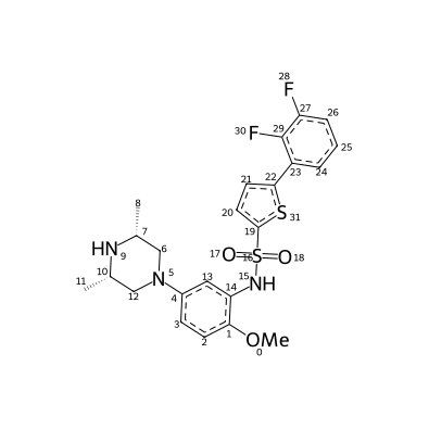 COc1ccc(N2C[C@@H](C)N[C@@H](C)C2)cc1NS(=O)(=O)c1ccc(-c2cccc(F)c2F)s1